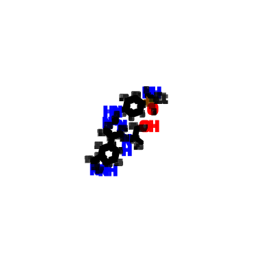 CCS(=N)(=O)c1ccc(Nc2ncc(-c3ccc4[nH]ncc4c3)c(N[C@H](C)CO)n2)cc1